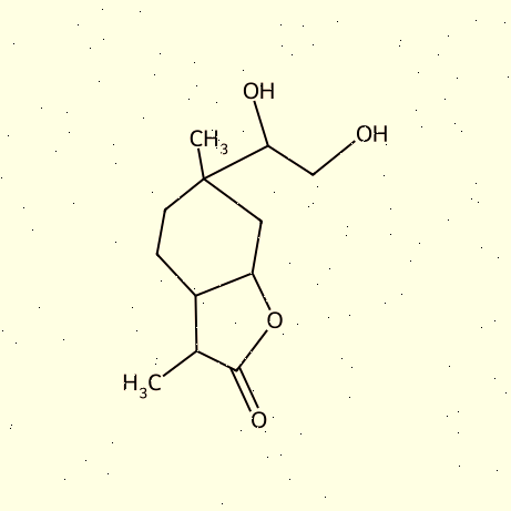 CC1C(=O)OC2CC(C)(C(O)CO)CCC21